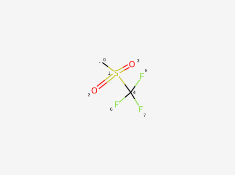 [CH2]S(=O)(=O)C(F)(F)F